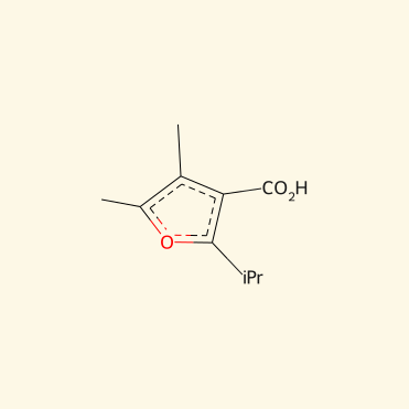 Cc1oc(C(C)C)c(C(=O)O)c1C